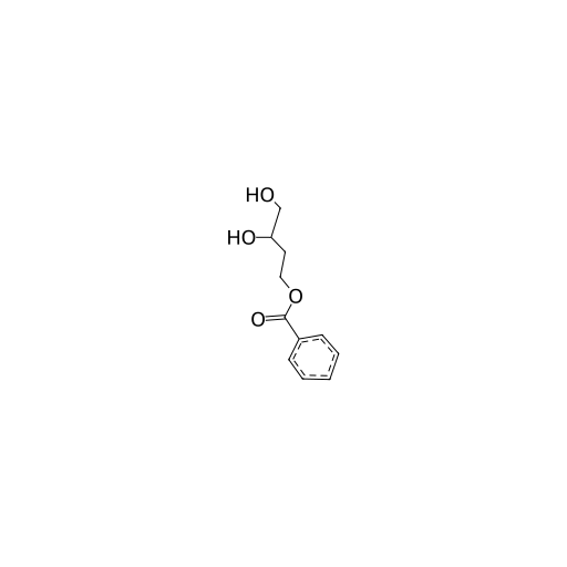 O=C(OCCC(O)CO)c1ccccc1